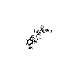 CC(C)c1cccc(S(=O)(=O)NCCNC(=O)OC(C)(C)C)c1